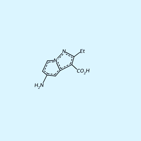 CCc1nn2ccc(N)cc2c1C(=O)O